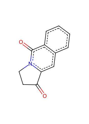 O=C1CCn2c1cc1ccccc1c2=O